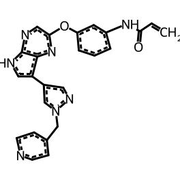 C=CC(=O)Nc1cccc(Oc2cnc3[nH]cc(-c4cnn(Cc5ccncc5)c4)c3n2)c1